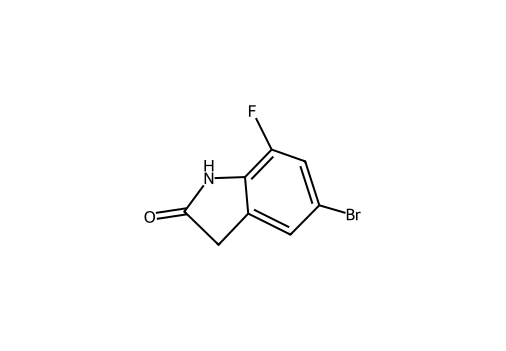 O=C1Cc2cc(Br)cc(F)c2N1